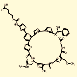 CNC(=O)C[C@@H]1NC(=O)c2csc(n2)-c2ccc(-c3nc(NC(=O)OCCCC(=O)O)cs3)nc2-c2csc(n2)-c2csc(n2)[C@H]([C@@H](O)c2ccccc2)NC(=O)CNC(=O)c2nc(sc2COC)NC(=O)c2nc1sc2C